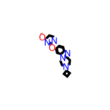 COC1CC=NC(OC2=CC3C(C=C2)N=C2CCN(C4CCC4)CCN23)=N1